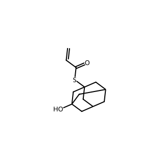 C=CC(=O)SC12CC3CC(CC(O)(C3)C1)C2